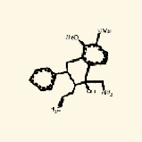 C=CCC1C(c2ccccc2)Cc2c(ccc(OC)c2OC)C1(O)CN